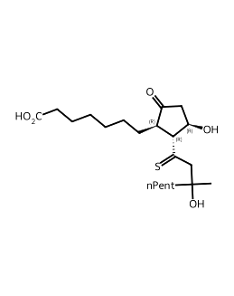 CCCCCC(C)(O)CC(=S)[C@H]1[C@H](O)CC(=O)[C@@H]1CCCCCCC(=O)O